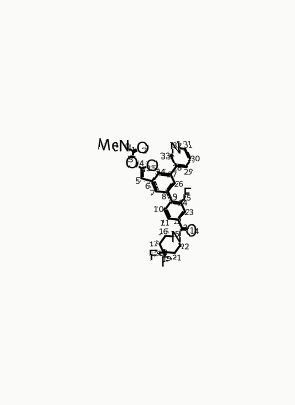 CNC(=O)Oc1cc2cc(-c3ccc(C(=O)N4CCC(F)(F)CC4)cc3F)cc(-c3cccnc3)c2o1